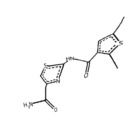 Cc1cc(C(=O)Nc2nc(C(N)=O)cs2)c(C)s1